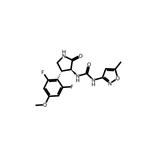 COc1cc(F)c([C@@H]2CNC(=O)[C@H]2NC(=O)Nc2cc(C)on2)c(F)c1